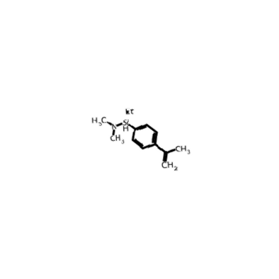 C=C(C)c1ccc([SiH](CC)N(C)C)cc1